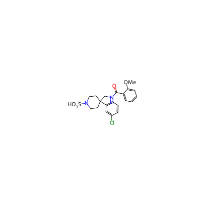 COc1ccccc1C(=O)NCC1(c2cccc(Cl)c2)CCN(S(=O)(=O)O)CC1